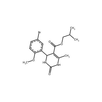 COc1ccc(Br)cc1C1NC(=O)NC(C)=C1C(=O)OCC(C)C